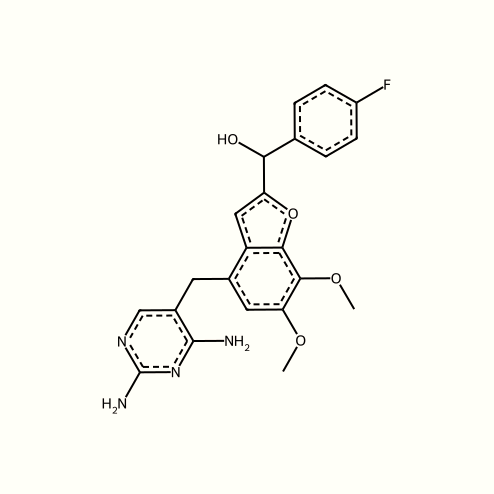 COc1cc(Cc2cnc(N)nc2N)c2cc(C(O)c3ccc(F)cc3)oc2c1OC